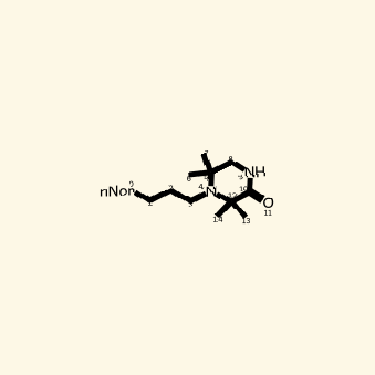 CCCCCCCCCCCCN1C(C)(C)CNC(=O)C1(C)C